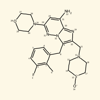 Cc1c(F)cccc1Cc1c(CN2CC[S+]([O-])CC2)nc2c(N)cc(N3CCOCC3)nn12